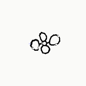 C1=C\CCCC(B2C3CCCCCCCCC3C(C3CCCCCCCCCCC3)C3CCCCCCCC23)CCCC/1